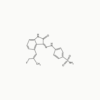 C/C(=C/c1cccc2c1/C(=N/Nc1ccc(S(N)(=O)=O)cc1)C(=O)N2)CF